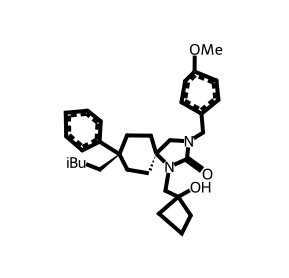 CCC(C)C[C@]1(c2ccccc2)CC[C@]2(CC1)CN(Cc1ccc(OC)cc1)C(=O)N2CC1(O)CCC1